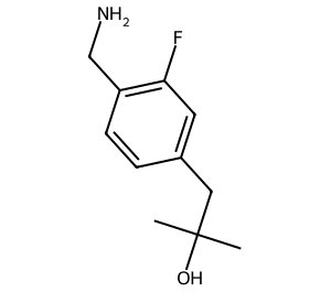 CC(C)(O)Cc1ccc(CN)c(F)c1